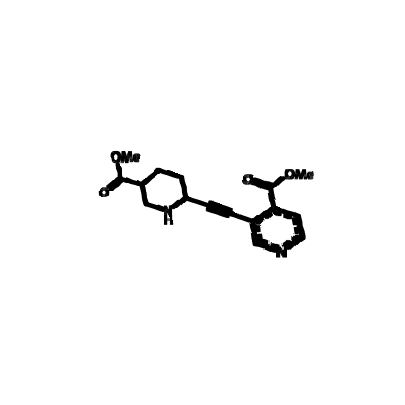 COC(=O)c1ccncc1C#CC1CCC(C(=O)OC)CN1